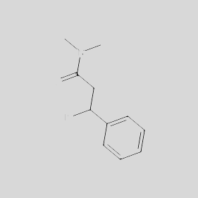 CN(C)C(=O)CC(S)c1ccccc1